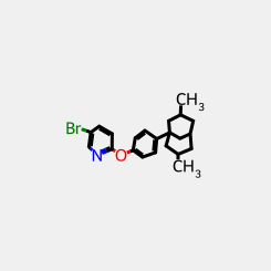 CC1CC2CC(C)CC(c3ccc(Oc4ccc(Br)cn4)cc3)(C1)C2